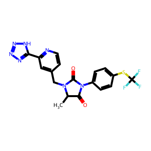 CC1C(=O)N(c2ccc(SC(F)(F)F)cc2)C(=O)N1Cc1ccnc(-c2nnn[nH]2)c1